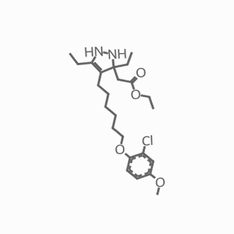 CCOC(=O)CC1(CC)NNC(CC)=C1CCCCCCOc1ccc(OC)cc1Cl